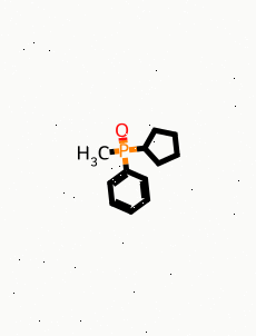 CP(=O)(c1ccccc1)C1CCCC1